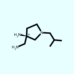 C[C](C)CN1CC[C@@](N)(CN)C1